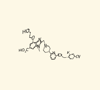 Cn1c(CN2CCC(c3cccc(OCc4ccc(C#N)cc4F)n3)CC2)nc2c(OCCO)cc(C(=O)O)cc21